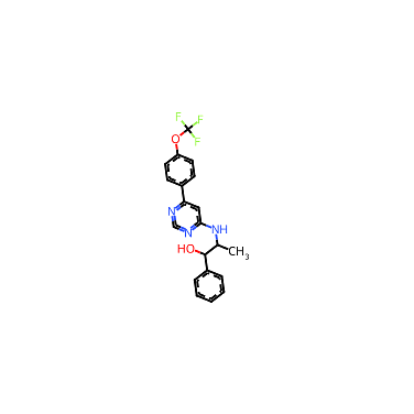 CC(Nc1cc(-c2ccc(OC(F)(F)F)cc2)ncn1)C(O)c1ccccc1